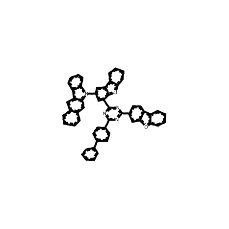 c1ccc(-c2ccc(-c3nc(-c4ccc5c(c4)oc4ccccc45)nc(-c4cc(-n5c6ccccc6c6cc7ccccc7cc65)cc5c4oc4ccccc45)n3)cc2)cc1